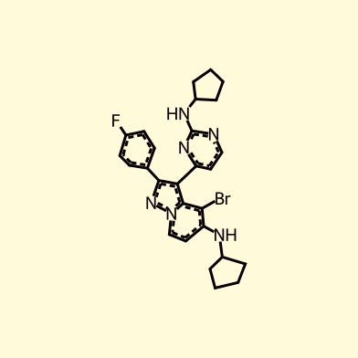 Fc1ccc(-c2nn3ccc(NC4CCCC4)c(Br)c3c2-c2ccnc(NC3CCCC3)n2)cc1